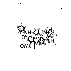 COc1cc(C(=O)Nc2cccnc2)ccc1Nc1ncc2c(n1)N(C1CCCC1)CC(C)(C)C(=O)N2C